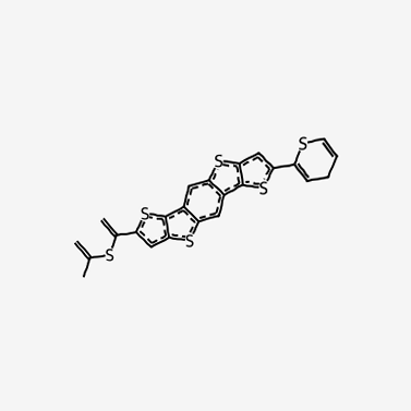 C=C(C)SC(=C)c1cc2sc3cc4c(cc3c2s1)sc1cc(C2=CCC=CS2)sc14